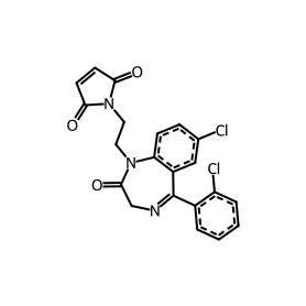 O=C1C=CC(=O)N1CCN1C(=O)CN=C(c2ccccc2Cl)c2cc(Cl)ccc21